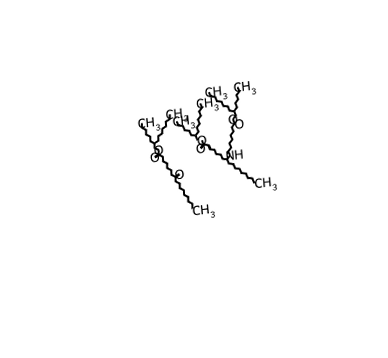 CCCCCCCCCCC(=O)CCCCCCC(=O)OCC(CCCCCC)CCCCCCCC.CCCCCCCCCCC(CCCCC=CC(=O)OCC(CCCCCC)CCCCCCCC)NCCCCCCCC(=O)OCC(CCCCCC)CCCCCCCC